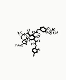 COC1=NO[C@@]2(CC[C@H](C)N3C[C@H]2n2cc(C(=O)NCc4ccc(F)cc4F)c(=O)c(OC(=O)Cc4ccc(OP(=O)(O)O)cc4)c2C3=O)C1